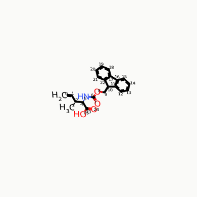 C=C[C@@H](C)[C@H](NC(=O)OCC1c2ccccc2-c2ccccc21)C(=O)O